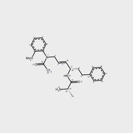 COc1ccccc1N(C/C=C/[C@H](CCc1ccccc1)NC(=O)[C@H](C)N)C(=O)C(F)(F)F